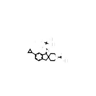 CC(C)(C)[S@@+]([O-])N=C1c2cc(C3CC3)ccc2CC12CCN(C(=O)O)CC2